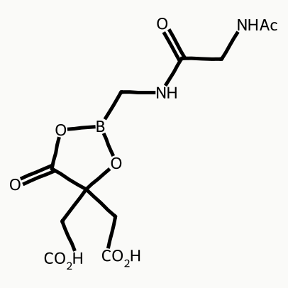 CC(=O)NCC(=O)NCB1OC(=O)C(CC(=O)O)(CC(=O)O)O1